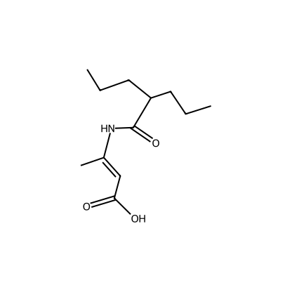 CCCC(CCC)C(=O)NC(C)=CC(=O)O